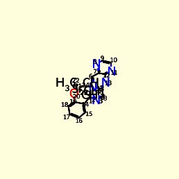 CC(/N=C\c1ncc2nccnc2n1)c1ccccc1O[Si](C)(C)C